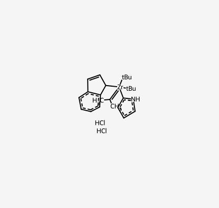 C[C](C)=[Zr]([c]1ccc[nH]1)([CH]1C=Cc2ccccc21)([C](C)(C)C)[C](C)(C)C.Cl.Cl